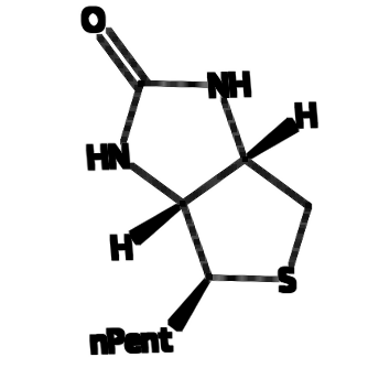 CCCCC[C@@H]1SC[C@H]2NC(=O)N[C@@H]12